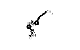 CCCCCCC#Cc1cccc(S(=O)(=O)Nc2cccc(-c3csc(NC(=O)I)n3)c2)c1